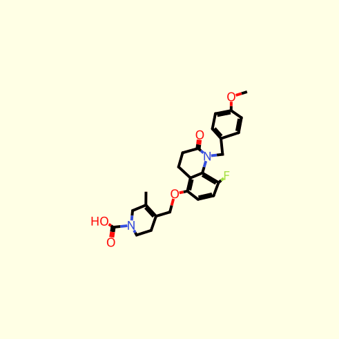 COc1ccc(CN2C(=O)CCc3c(OCC4=C(C)CN(C(=O)O)CC4)ccc(F)c32)cc1